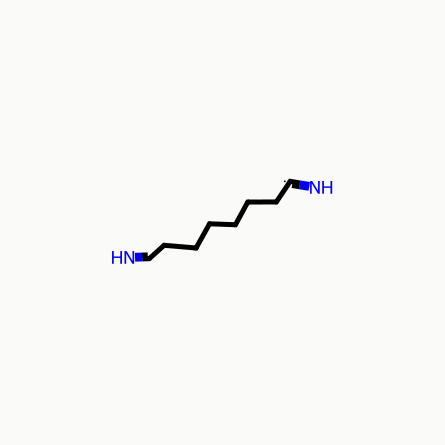 N=[C]CCCCCCC=N